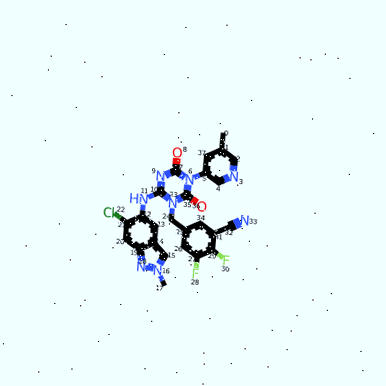 Cc1cncc(-n2c(=O)nc(Nc3cc4cn(C)nc4cc3Cl)n(Cc3cc(F)c(F)c(C#N)c3)c2=O)c1